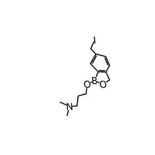 CN(C)CCCOB1OCc2ccc(CI)cc21